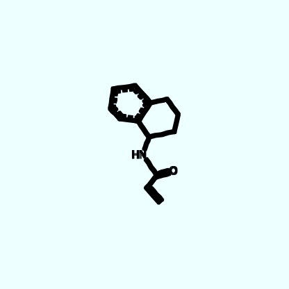 C=CC(=O)NC1CCCc2ccccc21